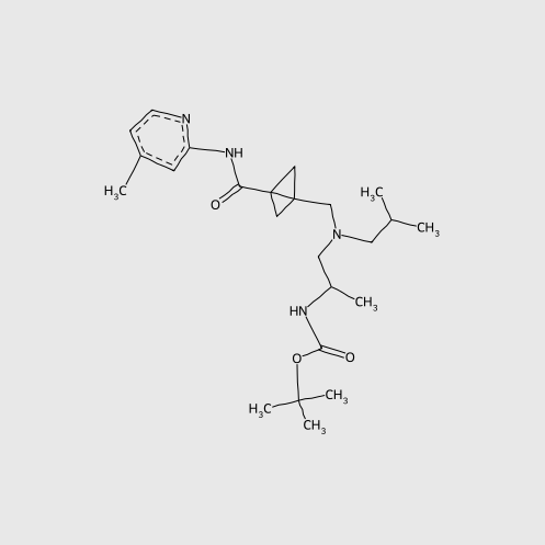 Cc1ccnc(NC(=O)C23CC2(CN(CC(C)C)CC(C)NC(=O)OC(C)(C)C)C3)c1